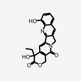 CCC1(O)C(=O)OCc2c1cc1n(c2=O)Cc2cc3cccc(O)c3nc2-1